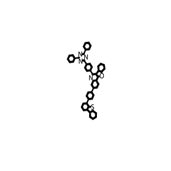 c1ccc(-c2nc(-c3ccccc3)nc(-c3ccc(-c4nc5cc(-c6ccc(-c7cccc8c7sc7ccccc78)cc6)ccc5c5oc6ccccc6c45)cc3)n2)cc1